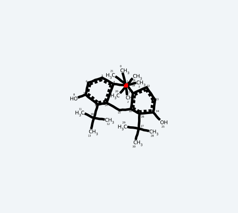 CC(C)(C)c1ccc(O)c(C(C)(C)C)c1Cc1c(C(C)(C)C)ccc(O)c1C(C)(C)C